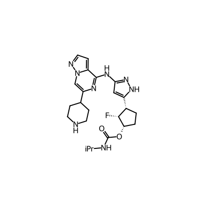 CC(C)NC(=O)O[C@H]1CC[C@@H](c2cc(Nc3nc(C4CCNCC4)cn4nccc34)n[nH]2)[C@H]1F